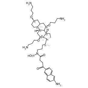 CCCCCCCCN(CCC[C@@H](C)[C@H]1CC[C@H]2C3[C@H](OCCCN)CC4C[C@H](OCCCN)CC[C@]4(C)[C@H]3C[C@H](OCCCN)[C@]12C)C(=O)CCC(=O)c1ccc2cc(N)ccc2c1